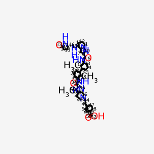 Cc1c(NC(=O)c2cc3n(n2)CCCC3NC[C@@H]2CCC(=O)N2)cccc1-c1cccc(NC(=O)c2nc3c(n2C)CCN(CCC24CCC(C(=O)O)(CC2)C4)C3)c1C